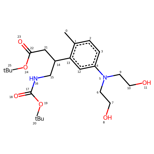 Cc1ccc(N(CCO)CCO)cc1C(CNC(=O)OC(C)(C)C)CC(=O)OC(C)(C)C